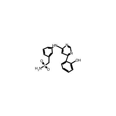 NS(=O)(=O)Cc1cccc(Nc2cc(-c3ccccc3O)ncn2)c1